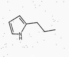 C[CH]Cc1ccc[nH]1